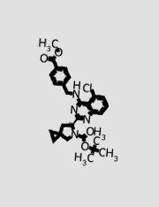 COC(=O)c1ccc(CNc2nc([C@@H]3CC4(CC4)CN3C(=O)OC(C)(C)C)nc3cccc(Cl)c23)cc1